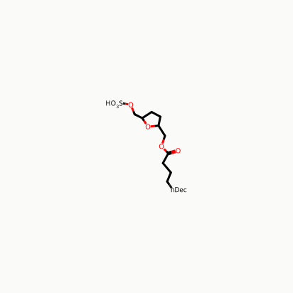 CCCCCCCCCCCCCC(=O)OCC1CCC(COS(=O)(=O)O)O1